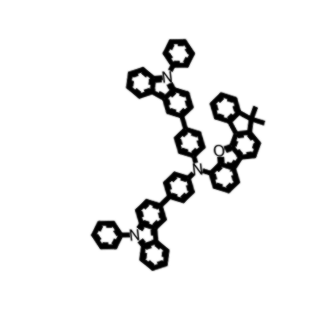 CC1(C)c2ccccc2-c2c1ccc1c2oc2c(N(c3ccc(-c4ccc5c(c4)c4ccccc4n5-c4ccccc4)cc3)c3ccc(-c4ccc5c(c4)c4ccccc4n5-c4ccccc4)cc3)cccc21